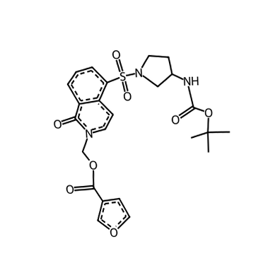 CC(C)(C)OC(=O)NC1CCN(S(=O)(=O)c2cccc3c(=O)n(COC(=O)c4ccoc4)ccc23)C1